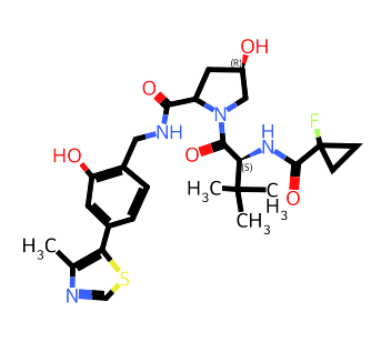 Cc1ncsc1-c1ccc(CNC(=O)C2C[C@@H](O)CN2C(=O)[C@@H](NC(=O)C2(F)CC2)C(C)(C)C)c(O)c1